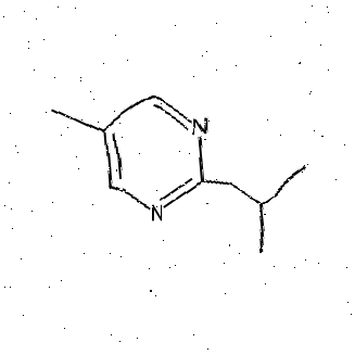 Cc1cnc(C(C)C)nc1